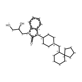 O=c1n(CC(O)CO)c2ccccc2n1C1CCN(CC2CCCCC23CCCC3)CC1